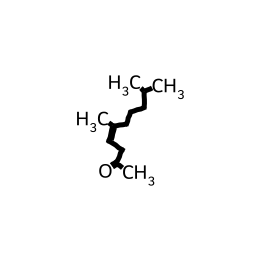 CC(=O)CC=C(C)CCCC(C)C